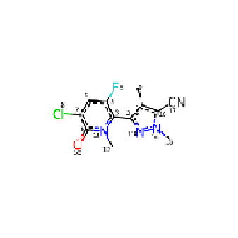 Cc1c(-c2c(F)cc(Cl)c(=O)n2C)nn(C)c1C#N